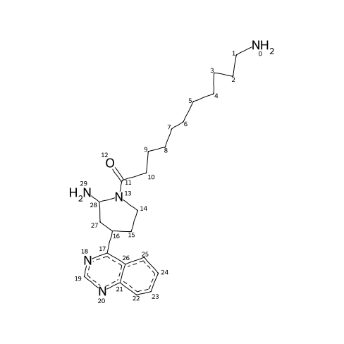 NCCCCCCCCCCC(=O)N1CCC(c2ncnc3ccccc23)CC1N